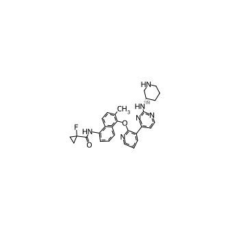 Cc1ccc2c(NC(=O)C3(F)CC3)cccc2c1Oc1ncccc1-c1ccnc(N[C@H]2CCCNC2)n1